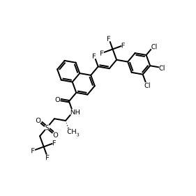 C[C@H](CS(=O)(=O)CC(F)(F)F)NC(=O)c1ccc(/C(F)=C/C(c2cc(Cl)c(Cl)c(Cl)c2)C(F)(F)F)c2ccccc12